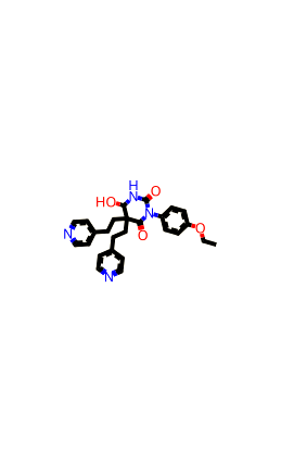 CCOc1ccc(N2C(=O)NC(O)C(CCc3ccncc3)(CCc3ccncc3)C2=O)cc1